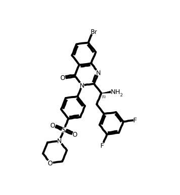 N[C@@H](Cc1cc(F)cc(F)c1)c1nc2cc(Br)ccc2c(=O)n1-c1ccc(S(=O)(=O)N2CCOCC2)cc1